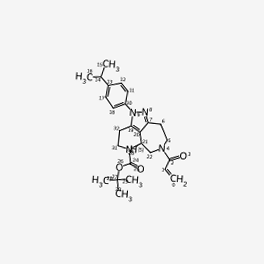 C=CC(=O)N1CCc2nn(-c3ccc(C(C)C)cc3)c3c2[C@@H](C1)N(C(=O)OC(C)(C)C)CC3